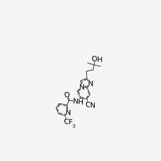 CC(C)(O)CCc1cn2cc(NC(=O)c3cccc(C(F)(F)F)n3)c(C#N)cc2n1